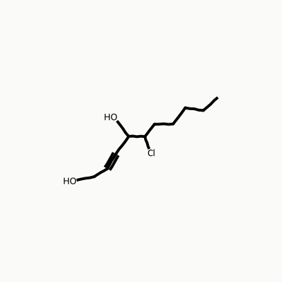 CCCCCC(Cl)C(O)C#CCO